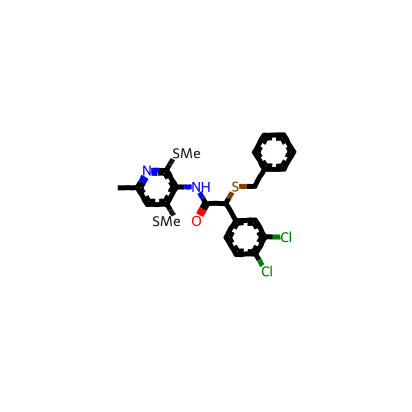 CSc1cc(C)nc(SC)c1NC(=O)C(SCc1ccccc1)c1ccc(Cl)c(Cl)c1